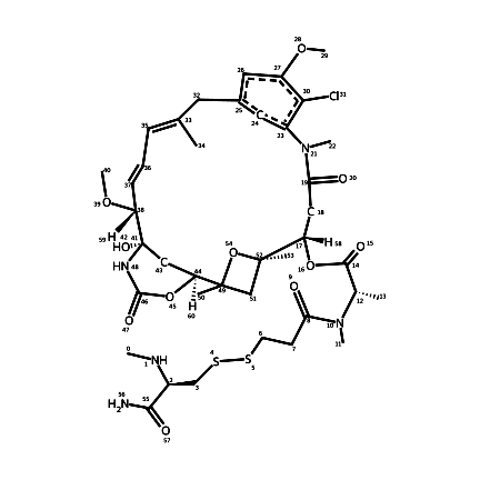 CN[C@@H](CSSCCC(=O)N(C)[C@@H](C)C(=O)O[C@H]1CC(=O)N(C)c2cc(cc(OC)c2Cl)C/C(C)=C/C=C/[C@@H](OC)[C@@]2(O)C[C@H](OC(=O)N2)C2(C)C[C@@]1(C)O2)C(N)=O